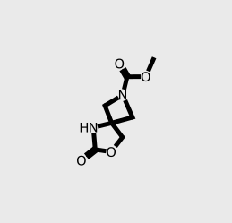 COC(=O)N1CC2(COC(=O)N2)C1